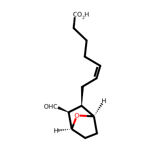 O=C[C@H]1[C@@H](C/C=C\CCCC(=O)O)[C@H]2CC[C@@H]1O2